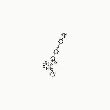 Cn1nccc1-c1ccc(C#Cc2ccc(-c3ccn(CCC(C)(C(=O)NOC4CCCCO4)S(C)(=O)=O)c(=O)c3)cc2)cc1